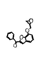 O=C(c1ccccc1)c1cc2cccc(OCC3CO3)c2o1